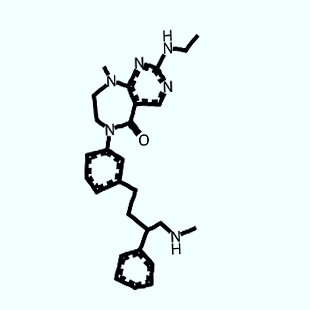 CCNc1ncc2c(n1)N(C)CCN(c1cccc(CCC(CNC)c3ccccc3)c1)C2=O